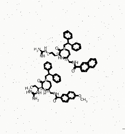 CCC(NC(=N)N)[C@@H]1N[C@H](CNC(=O)c2ccc3cc(OC)ccc3c2)CCN(CC(c2ccccc2)c2ccccc2)C1=O.N=C(N)NOCC[C@@H]1N[C@H](CNC(=O)c2ccc3ccccc3c2)CCN(CC(c2ccccc2)c2ccccc2)C1=O